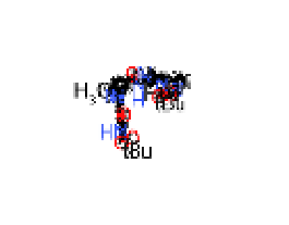 Cc1nn(CCOCCNC(=O)OC(C)(C)C)c2cc(C(=O)Nc3cc4c(cn3)cc([C@H]3CCCN3C)n4C(=O)OC(C)(C)C)ccc12